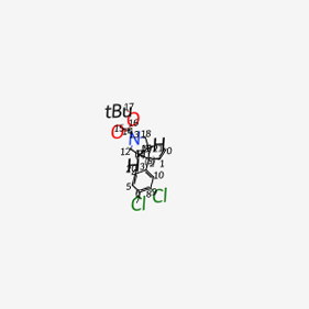 C=C[C@@]1(c2ccc(Cl)c(Cl)c2)[C@@H]2CN(C(=O)OC(C)(C)C)C[C@@H]21